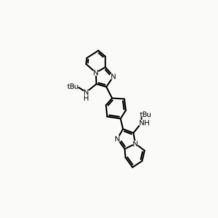 CC(C)(C)Nc1c(-c2ccc(-c3nc4ccccn4c3NC(C)(C)C)cc2)nc2ccccn12